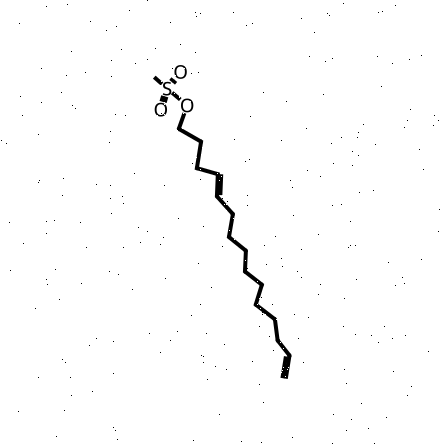 C=CCCCCCCCC/C=C/CCCOS(C)(=O)=O